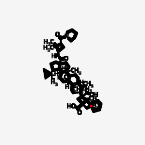 CC1([C@@H]2CC[C@]3(C(=O)N[C@@H]4C[C@H](C(=O)N5CCCCC5)C4(C)C)CC[C@]4(C)[C@H](CC[C@@H]5[C@]6(C)CC[C@H]([C@@]7(C(=O)O)C[C@@](Cc8ccccc8)(C(=O)O)C7(C)C)C(C)(C)[C@H]6CC[C@]54C)[C@@H]23)CC1